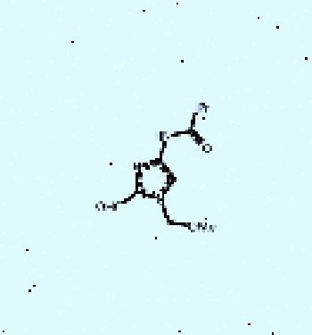 COCn1cc(NC(=O)C(C)C)nc1C=O